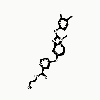 Cc1ccc(Nc2nc3cc(Oc4ccnc(C(=O)NCCO)c4)ccc3n2C)cc1F